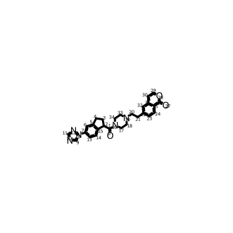 O=C(C1CCc2cc(-n3cncn3)ccc21)N1CCN(CCc2ccc3c(=O)occc3c2)CC1